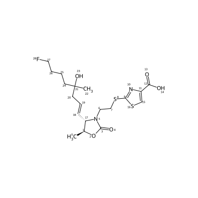 C[C@@H]1OC(=O)N(CCSc2nc(C(=O)O)cs2)[C@H]1/C=C/CC(C)(O)CCCCF